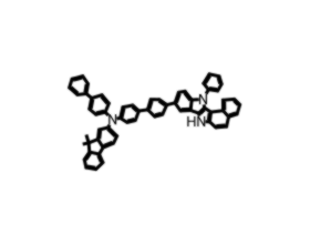 CC1(C)c2ccccc2-c2ccc(N(c3ccc(-c4ccccc4)cc3)c3ccc(-c4ccc(-c5ccc6c(c5)c5[nH]c7ccc8ccccc8c7c5n6-c5ccccc5)cc4)cc3)cc21